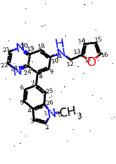 Cn1ccc2ccc(-c3cc(NCc4ccco4)cc4nccnc34)cc21